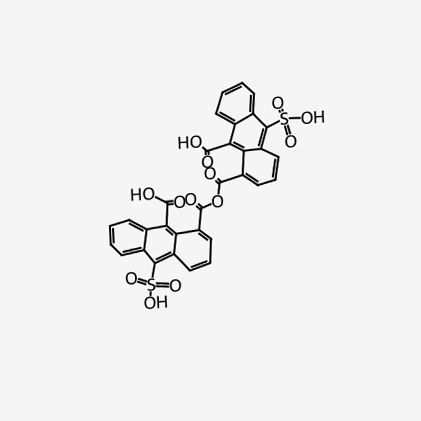 O=C(OC(=O)c1cccc2c(S(=O)(=O)O)c3ccccc3c(C(=O)O)c12)c1cccc2c(S(=O)(=O)O)c3ccccc3c(C(=O)O)c12